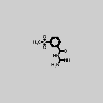 CS(=O)(=O)c1[c]ccc(C(=O)NC(=N)N)c1